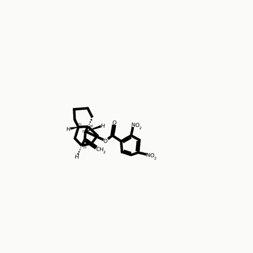 C=C1[C@H]2CC[C@@]3(CCCC[C@H]3C2)[C@@H]1OC(=O)c1ccc([N+](=O)[O-])cc1[N+](=O)[O-]